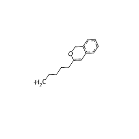 [CH2]CCCCC1=Cc2ccccc2CO1